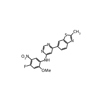 COc1cc(F)c([N+](=O)[O-])cc1Nc1cc(-c2ccc3nc(C)sc3c2)ncn1